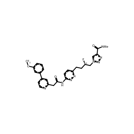 CNC(=O)c1cn(C[C@H](F)CCc2ccc(NC(=O)Cc3cc(-c4cccc(OC(F)(F)F)c4)ccn3)nn2)nn1